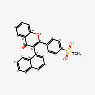 CS(=O)(=O)c1ccc(-c2oc3ccccc3c(=O)c2-c2cccc3ccccc23)cc1